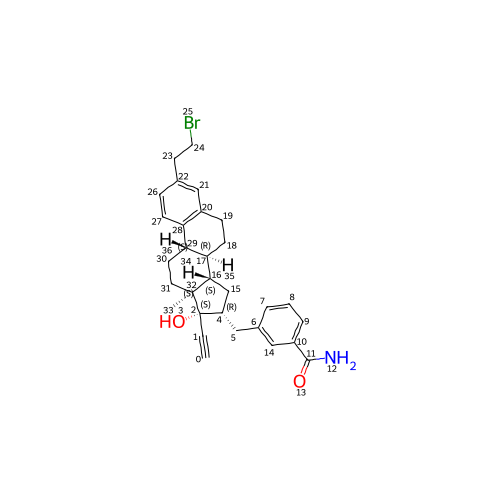 C#C[C@]1(O)[C@@H](Cc2cccc(C(N)=O)c2)C[C@H]2[C@@H]3CCc4cc(CCBr)ccc4[C@H]3CC[C@@]21C